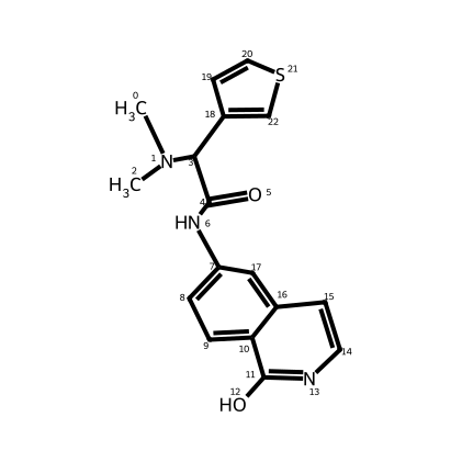 CN(C)C(C(=O)Nc1ccc2c(O)nccc2c1)c1ccsc1